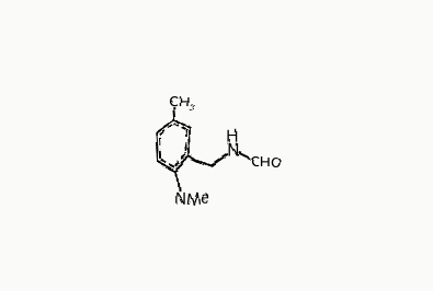 CNc1ccc(C)cc1CNC=O